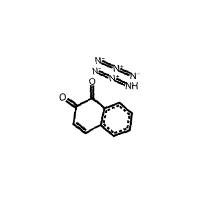 O=C1C=Cc2ccccc2C1=O.[N-]=[N+]=N.[N-]=[N+]=[N-]